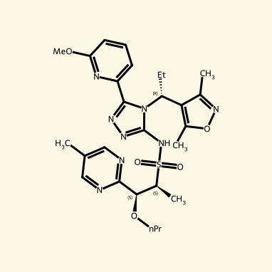 CCCO[C@@H](c1ncc(C)cn1)[C@H](C)S(=O)(=O)Nc1nnc(-c2cccc(OC)n2)n1[C@H](CC)c1c(C)noc1C